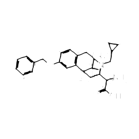 C[C@H]1[C@H]2Cc3ccc(OCc4ccccc4)cc3[C@]1(C)CC(C(N)C(=O)O)N2CC1CC1